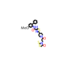 COc1ccc(-c2ccccc2)c(NC(=O)c2csc(C3CCN(C(=O)CCN4C(=O)CSC4=S)CC3)n2)c1